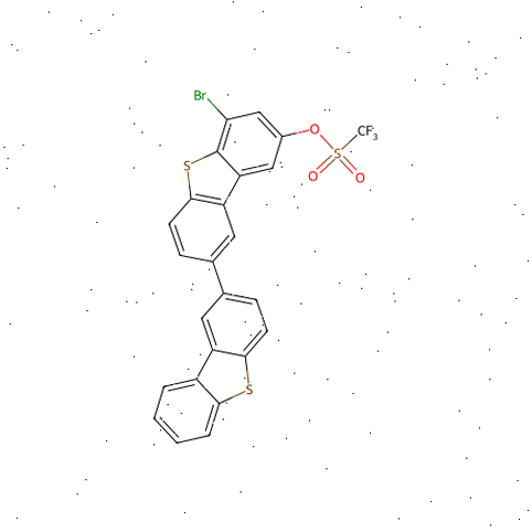 O=S(=O)(Oc1cc(Br)c2sc3ccc(-c4ccc5sc6ccccc6c5c4)cc3c2c1)C(F)(F)F